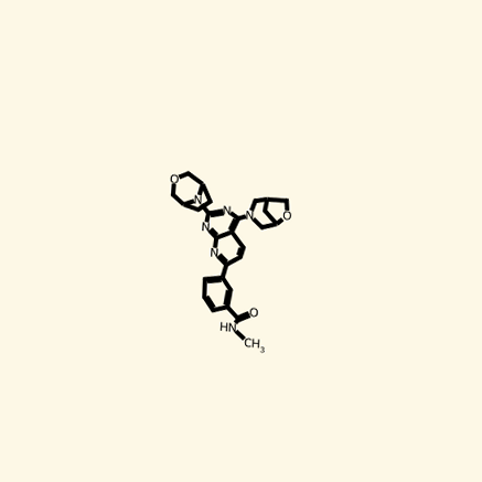 CNC(=O)c1cccc(-c2ccc3c(N4CC5COC(C5)C4)nc(N4C5CCC4COC5)nc3n2)c1